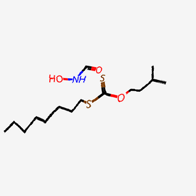 CCCCCCCCSC(=S)OCCC(C)C.O=CNO